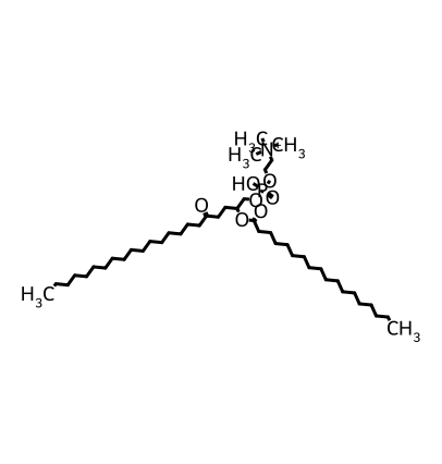 CCCCCCCCCCCCCCCCCC(=O)CCC(COP(=O)(O)OCC[N+](C)(C)C)OC(=O)CCCCCCCCCCCCCCCCC